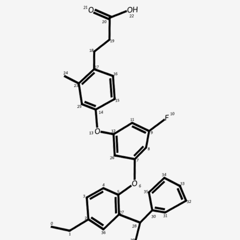 CCc1ccc(Oc2cc(F)cc(Oc3ccc(CCC(=O)O)c(C)c3)c2)c(C(C)c2ccccc2)c1